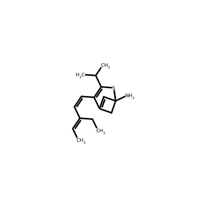 C/C=C(/C=C\C1=C(C(C)C)SC2(N)C=C1C2)CC